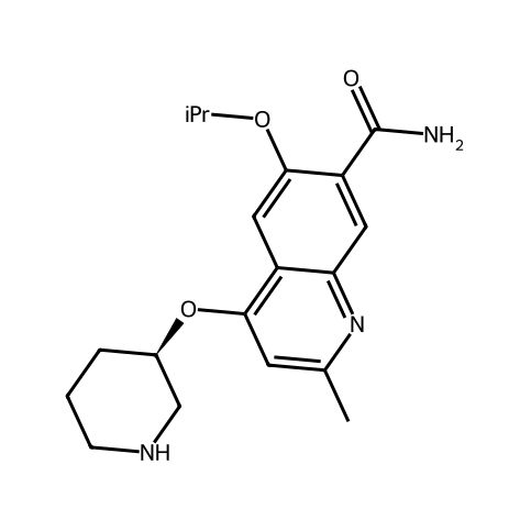 Cc1cc(O[C@@H]2CCCNC2)c2cc(OC(C)C)c(C(N)=O)cc2n1